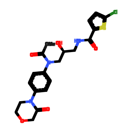 COC(=O)N(C[C@@H](O)CNC(=O)c1ccc(Cl)s1)c1ccc(N2CCOCC2=O)cc1